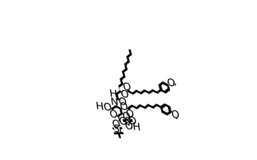 CCCCCCCCCCC[C@@H](CC(=O)N[C@H]1C(O)O[C@H](CO[Si](C)(C)C(C)(C)C)[C@@H](OS(=O)(=O)O)[C@@H]1OC(=O)CCCCCCCc1ccc(OC)cc1)OC(=O)CCCCCCCc1ccc(OC)cc1